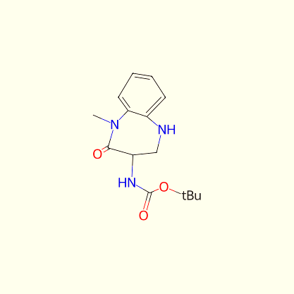 CN1C(=O)C(NC(=O)OC(C)(C)C)CNc2ccccc21